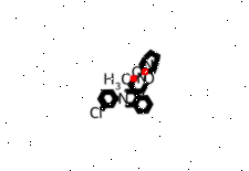 CCOC(=O)N1C2CCC1CC(N1CCC3(CC1)CN(C1CCC=C(Cl)C1)CC1=C3CCCC1)C2